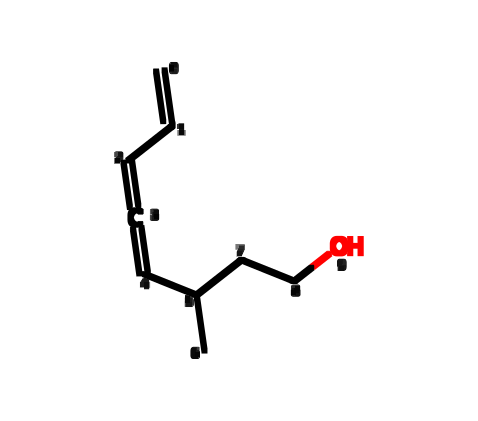 C=CC=C=CC(C)CCO